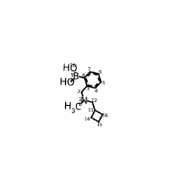 CN(Cc1ccccc1B(O)O)CC1CCC1